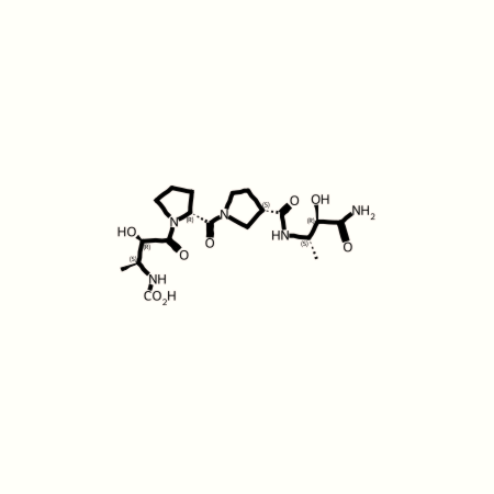 C[C@H](NC(=O)[C@H]1CCN(C(=O)[C@H]2CCCN2C(=O)[C@H](O)[C@H](C)NC(=O)O)C1)[C@@H](O)C(N)=O